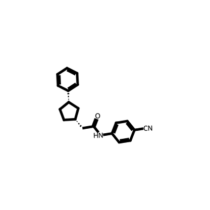 N#Cc1ccc(NC(=O)C[C@@H]2CC[C@H](c3ccccc3)C2)cc1